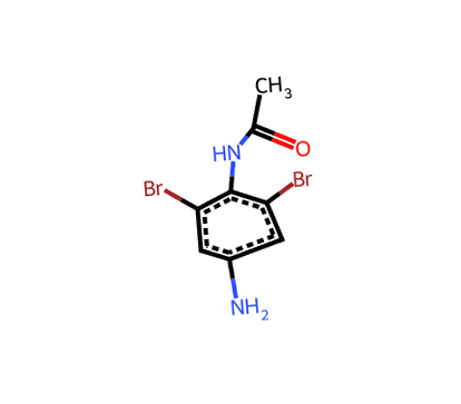 CC(=O)Nc1c(Br)cc(N)cc1Br